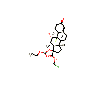 CCOC(=O)O[C@]1(C(=O)OCCl)CC[C@H]2[C@@H]3CCC4=CC(=O)CC[C@]4(C)[C@@]3(F)[C@@H](O)C[C@@]21C